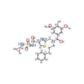 COc1cc(C(=O)N(CCCc2ccccc2)Cc2nc(C(=O)NS(=O)(=O)NC3CC3)cs2)cc(OC)c1C